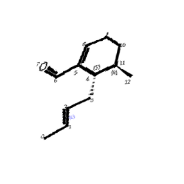 C/C=C/C[C@@H]1C(C=O)=CCC[C@H]1C